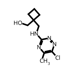 Cc1nc(NCC2(CO)CCC2)nnc1Cl